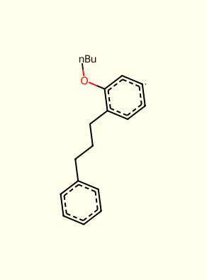 CCCCOc1c[c]ccc1CCCc1ccccc1